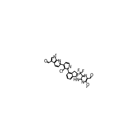 COc1nc(N[C@H]2CCc3c(-c4nccc(-c5ccc6c(C=O)cn(C)c6n5)c4Cl)cccc32)c(C(F)(F)F)nc1C=O